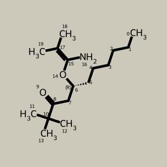 CCCCCC[C@H](CC(=O)C(C)(C)C)OC(N)=C(C)C